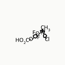 Cc1cc(COc2c(F)cc(COCC(=O)O)cc2F)n(-c2ccc(Cl)cc2)n1